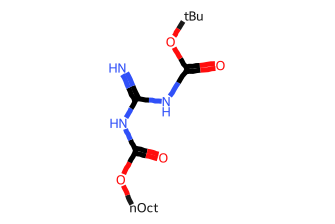 CCCCCCCCOC(=O)NC(=N)NC(=O)OC(C)(C)C